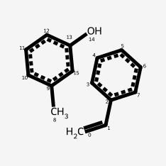 C=Cc1ccccc1.Cc1cccc(O)c1